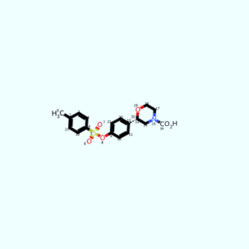 Cc1ccc(S(=O)(=O)Oc2ccc([C@H]3CN(C(=O)O)CCO3)cc2)cc1